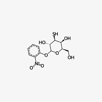 O=[N+]([O-])c1ccccc1OC1O[C@H](CO)[C@H](O)[C@H](S)[C@H]1O